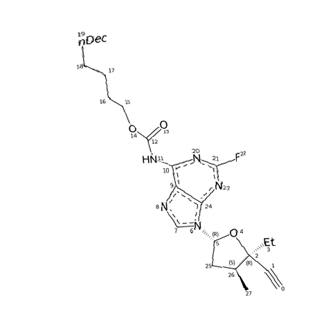 C#C[C@]1(CC)O[C@@H](n2cnc3c(NC(=O)OCCCCCCCCCCCCCC)nc(F)nc32)C[C@@H]1C